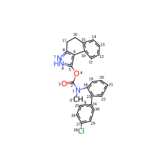 CN(C(=O)Oc1[nH]nc2c1-c1ccccc1CC2)c1ccccc1-c1ccc(Cl)cc1